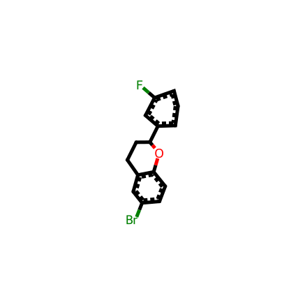 Fc1cccc(C2CCc3cc(Br)ccc3O2)c1